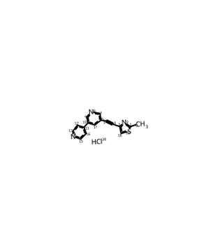 Cc1nc(C#Cc2cncc(-c3ccncc3)c2)cs1.Cl